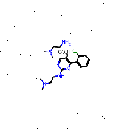 CN(C)CCN.CN(C)CCNc1ncc(C(=O)O)c(-c2ccccc2Cl)n1